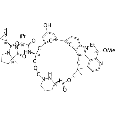 CCn1c(-c2cccnc2[C@H](C)OC)c2c3cc(ccc31)-c1cc(O)cc(c1)C[C@H](NC(=O)[C@@H](C(C)C)N(C)C(=O)[C@@]1(C)CCCN1C(=O)[C@H]1CN1)COCN1CCC[C@H](N1)C(=O)OCC(C)(C)C2